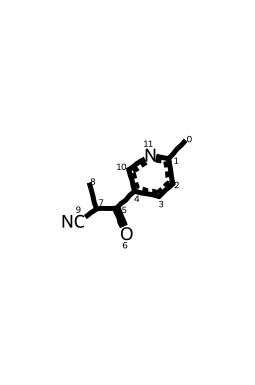 Cc1ccc(C(=O)C(C)C#N)cn1